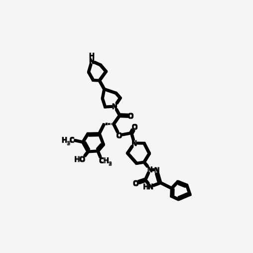 Cc1cc(C[C@@H](OC(=O)N2CCC(n3nc(-c4ccccc4)[nH]c3=O)CC2)C(=O)N2CCC(C3CCNCC3)CC2)cc(C)c1O